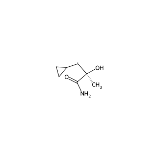 C[C@@](O)([CH]C1CC1)C(N)=O